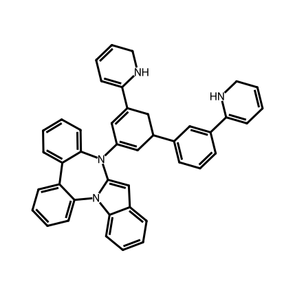 C1=CCNC(C2=CC(N3c4ccccc4-c4ccccc4-n4c3cc3ccccc34)=CC(c3cccc(C4=CC=CCN4)c3)C2)=C1